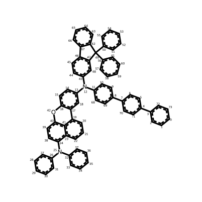 c1ccc(-c2ccc(-c3ccc(N(c4ccc5c(c4)-c4cccc6c(N(c7ccccc7)c7ccccc7)ccc(c46)O5)c4ccc5c(c4)C(c4ccccc4)(c4ccccc4)c4ccccc4-5)cc3)cc2)cc1